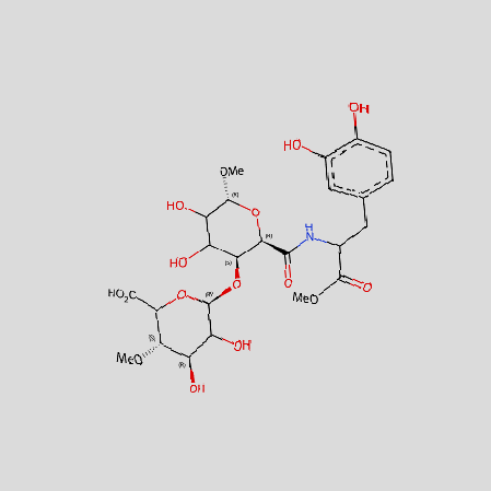 COC(=O)C(Cc1ccc(O)c(O)c1)NC(=O)[C@@H]1O[C@@H](OC)C(O)C(O)[C@@H]1O[C@@H]1OC(C(=O)O)[C@@H](OC)[C@H](O)C1O